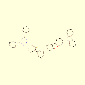 C1=c2sc3c(-c4ccc5c(c4)oc4cc(-n6c7ccccc7c7ccccc76)ccc45)cccc3c2=CCC1C1=NC(c2ccccc2)NC(c2ccccc2)N1